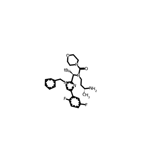 C[C@@H](N)CCN(C(=O)N1CCOCC1)[C@@H](c1nc(-c2cc(F)ccc2F)cn1Cc1ccccc1)C(C)(C)C